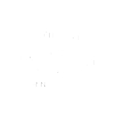 CCc1cc(CN)c(CC)c(CC)c1CC